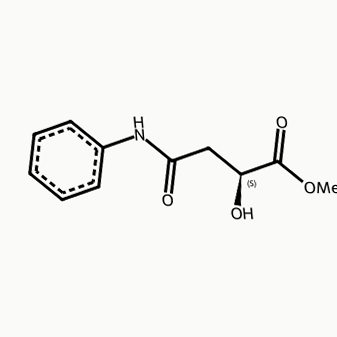 COC(=O)[C@@H](O)CC(=O)Nc1ccccc1